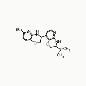 CN(C)C1COc2c(C3COc4ccc(C(C)(C)C)nc4N3)ccnc2N1